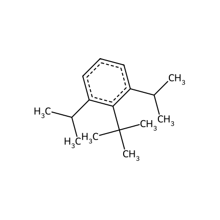 CC(C)c1cccc(C(C)C)c1C(C)(C)C